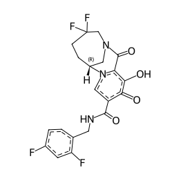 O=C(NCc1ccc(F)cc1F)c1cn2c(c(O)c1=O)C(=O)N1C[C@H]2CCC(F)(F)C1